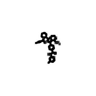 CC#CC(=O)N1CCCC[C@H]1c1nc(-c2ccc(C(=O)Nc3cc(C)ccn3)cc2)c2c(N)nccn12